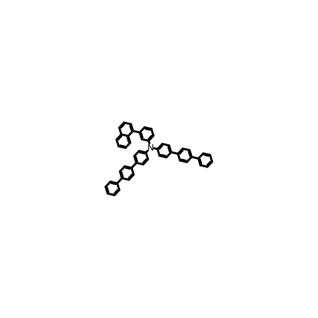 c1ccc(-c2ccc(-c3ccc(N(c4ccc(-c5ccc(-c6ccccc6)cc5)cc4)c4cccc(-c5cccc6ccccc56)c4)cc3)cc2)cc1